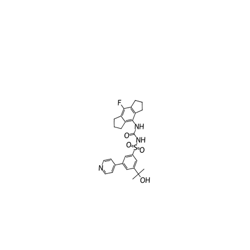 CC(C)(O)c1cc(-c2ccncc2)cc(S(=O)(=O)NC(=O)Nc2c3c(c(F)c4c2CCC4)CCC3)c1